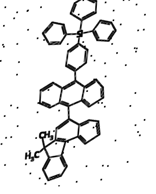 CC1(C)c2ccccc2-c2c1cc(-c1c3ccccc3c(-c3ccc([Si](c4ccccc4)(c4ccccc4)c4ccccc4)cc3)c3ccccc13)c1ccccc21